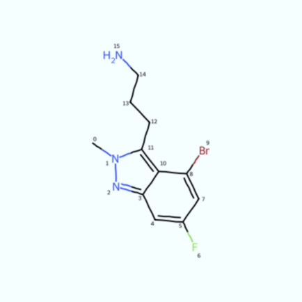 Cn1nc2cc(F)cc(Br)c2c1CCCN